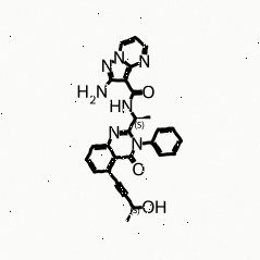 C[C@H](O)C#Cc1cccc2nc([C@H](C)NC(=O)c3c(N)nn4cccnc34)n(-c3ccccc3)c(=O)c12